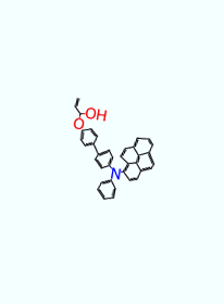 C=CC(O)Oc1ccc(-c2ccc(N(c3ccccc3)c3ccc4ccc5cccc6ccc3c4c56)cc2)cc1